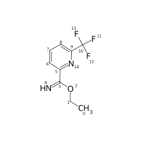 CCOC(=N)c1cccc(C(F)(F)F)n1